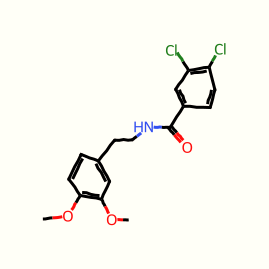 COc1ccc(CCNC(=O)c2ccc(Cl)c(Cl)c2)cc1OC